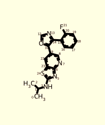 CC(C)Nc1nc2ncc(-c3ocnc3-c3ccccc3F)cc2s1